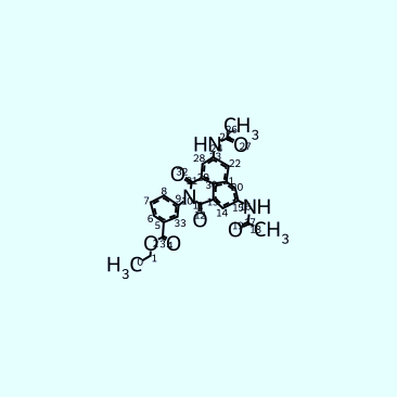 CCOC(=O)c1cccc(N2C(=O)c3cc(NC(C)=O)cc4cc(NC(C)=O)cc(c34)C2=O)c1